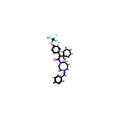 O=C(C(c1ccc(OC(F)(F)F)cc1)C1(O)CCCCC1)N1CCCN(Cc2ccccc2)CC1